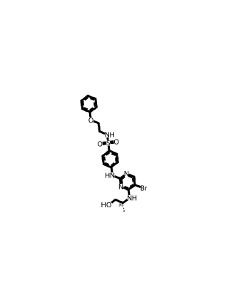 C[C@H](CO)Nc1nc(Nc2ccc(S(=O)(=O)NCCOc3ccccc3)cc2)ncc1Br